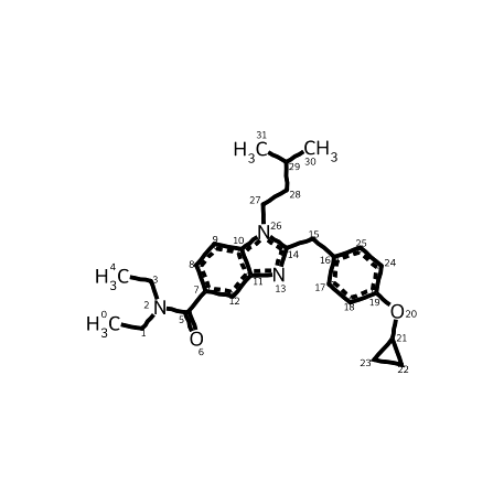 CCN(CC)C(=O)c1ccc2c(c1)nc(Cc1ccc(OC3CC3)cc1)n2CCC(C)C